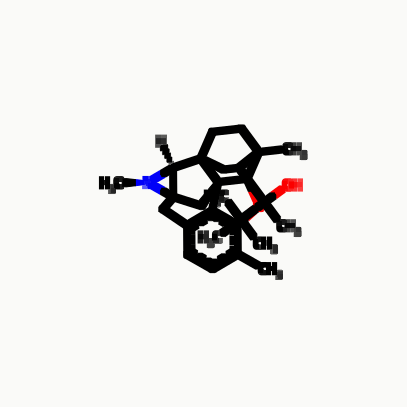 Cc1ccc2c3c1OC1C4(C)CCC5(CC4C(C)(O)C(C)(C)C)[C@@H]4[N@](C)C4(C2)C[C@]315